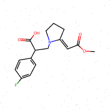 COC(=O)C=C1CCCN1CC(C(=O)O)c1ccc(F)cc1